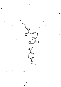 CCCOC(=O)c1cccc(NC(=O)COc2ccc(Cl)cc2)c1